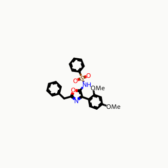 COc1ccc(-c2nc(Cc3ccccc3)oc2NS(=O)(=O)c2ccccc2)c(OC)c1